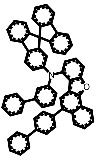 c1ccc(-c2ccc(-c3cc4c(oc5cccc(N(c6cccc(-c7ccccc7)c6)c6ccc7c(c6)C6(c8ccccc8-c8ccccc86)c6ccccc6-7)c54)c4ccccc34)cc2)cc1